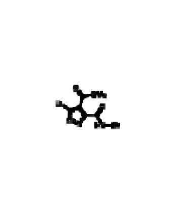 CCc1onc(C(=O)NC(C)C)c1C(=O)OC